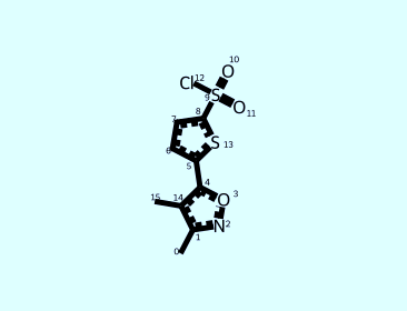 Cc1noc(-c2ccc(S(=O)(=O)Cl)s2)c1C